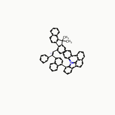 CC1(C)c2cccc(/C=C(/c3ccccc3)c3ccc(-c4cccc5c6ccc7cccc8c9ccccc9n(c45)c6c78)c4ccccc34)c2-c2ccc3ccccc3c21